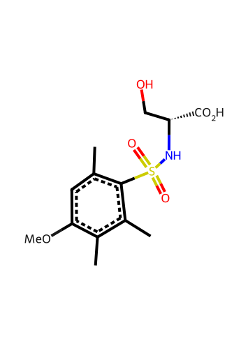 COc1cc(C)c(S(=O)(=O)N[C@H](CO)C(=O)O)c(C)c1C